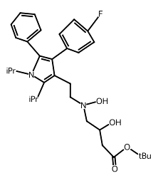 CC(C)c1c(CCN(O)CC(O)CC(=O)OC(C)(C)C)c(-c2ccc(F)cc2)c(-c2ccccc2)n1C(C)C